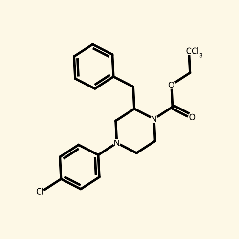 O=C(OCC(Cl)(Cl)Cl)N1CCN(c2ccc(Cl)cc2)CC1Cc1ccccc1